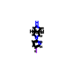 Ic1ccc(N2C[C@H]3CNC[C@H]3C2)nc1